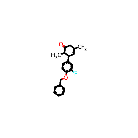 CC1C(=O)CC(C(F)(F)F)=CC1c1ccc(OCc2ccccc2)c(F)c1